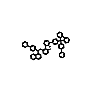 c1ccc(-c2ccc(C(Cc3cccc4sc5c(-c6ccc(C7(c8ccc(-c9ccccc9)cc8)c8ccccc8-c8ccccc87)cc6)cccc5c34)c3cccc4ccccc34)cc2)cc1